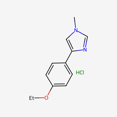 CCOc1ccc(-c2cn(C)cn2)cc1.Cl